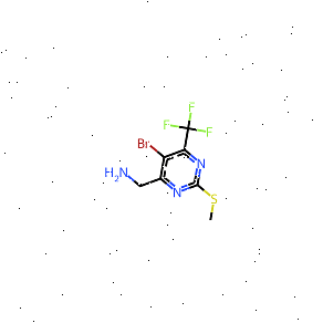 CSc1nc(CN)c(Br)c(C(F)(F)F)n1